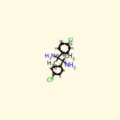 CC(N)(c1ccc(Cl)cc1)C(C)(N)c1ccc(Cl)cc1